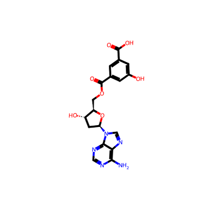 Nc1ncnc2c1ncn2[C@H]1C[C@H](O)[C@@H](COC(=O)c2cc(O)cc(C(=O)O)c2)O1